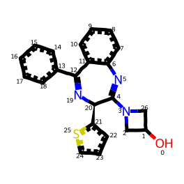 OC1CN(C2=Nc3ccccc3C(c3ccccc3)=N[C@@H]2c2cccs2)C1